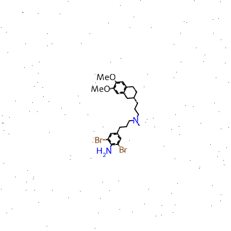 COc1cc2c(cc1OC)CC(CCCN(C)CCCc1cc(Br)c(N)c(Br)c1)CC2